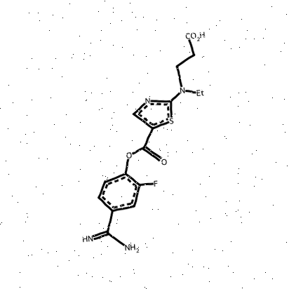 CCN(CCC(=O)O)c1ncc(C(=O)Oc2ccc(C(=N)N)cc2F)s1